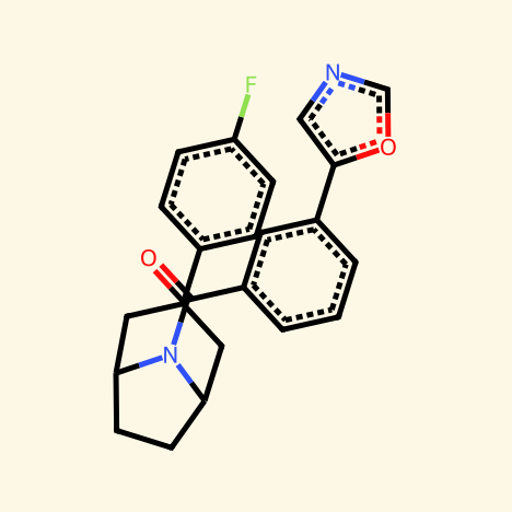 O=C(c1cccc(-c2cnco2)c1)N1C2CCC1CC(c1ccc(F)cc1)C2